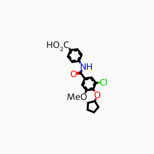 COc1cc(C(=O)Nc2ccc(C(=O)O)cc2)cc(Cl)c1OC1CCCC1